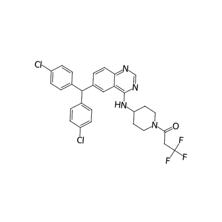 O=C(CC(F)(F)F)N1CCC(Nc2ncnc3ccc(C(c4ccc(Cl)cc4)c4ccc(Cl)cc4)cc23)CC1